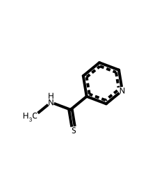 CNC(=S)c1cccnc1